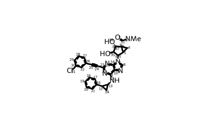 CNC(=O)[C@]12CC1[C@@H](n1cnc3c(NC4CC4c4ccccc4)nc(C#Cc4cccc(Cl)c4)nc31)C(O)[C@@H]2O